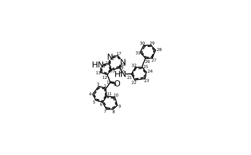 O=C(c1cccc2ccccc12)c1c[nH]c2ncnc(Nc3cccc(-c4ccccc4)c3)c12